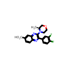 C[C@H]1COCCN1c1nc2cc(C(=O)O)ccc2nc1-c1ccc(F)c(F)c1